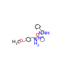 COCc1ccc(C[C@H](N)C(=O)N2CCCC[C@H]2c2nc(-c3ccccc3)c[nH]2)cc1